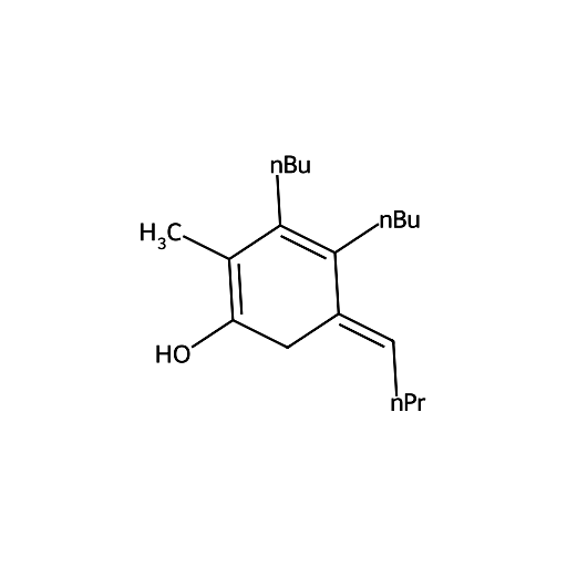 CCCC=C1CC(O)=C(C)C(CCCC)=C1CCCC